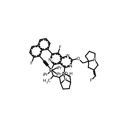 CC1Oc2nc(-c3cccc4ccc(F)c(C#C[Si](C(C)C)(C(C)C)C(C)C)c34)c(F)c3nc(OCC45CCCN4CC(=CF)C5)nc(c23)N2CC3CCC(C12)N3C(=O)O